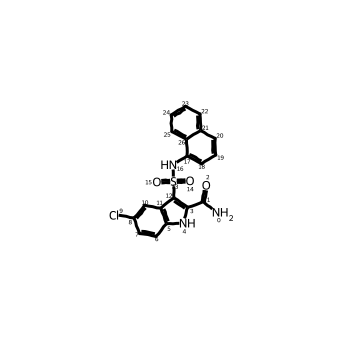 NC(=O)c1[nH]c2ccc(Cl)cc2c1S(=O)(=O)Nc1cccc2ccccc12